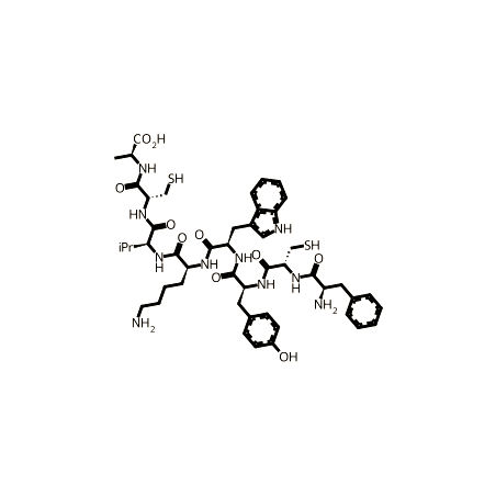 CC(C)[C@H](NC(=O)[C@H](CCCCN)NC(=O)[C@@H](Cc1c[nH]c2ccccc12)NC(=O)[C@H](Cc1ccc(O)cc1)NC(=O)[C@H](CS)NC(=O)[C@H](N)Cc1ccccc1)C(=O)N[C@@H](CS)C(=O)N[C@@H](C)C(=O)O